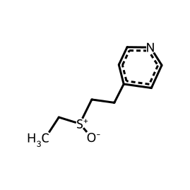 CC[S+]([O-])CCc1ccncc1